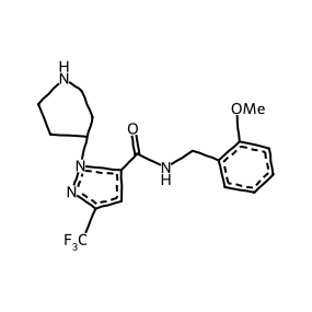 COc1ccccc1CNC(=O)c1cc(C(F)(F)F)nn1C1CCNCC1